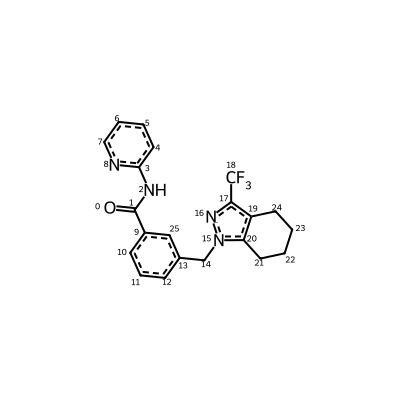 O=C(Nc1ccccn1)c1cccc(Cn2nc(C(F)(F)F)c3c2CCCC3)c1